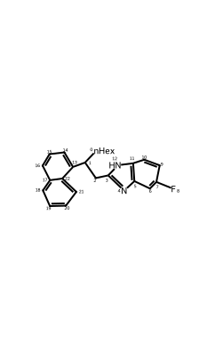 CCCCCCC(Cc1nc2cc(F)ccc2[nH]1)c1cccc2ccccc12